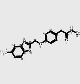 CCNC(=O)Cc1ccc(OCc2nc3cc(C)ccc3s2)cc1